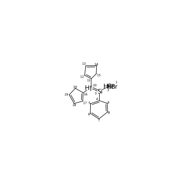 Br.Br.C[Si](c1ccccc1)=[Hf]([C]1=CC=CC1)[C]1=CC=CC1